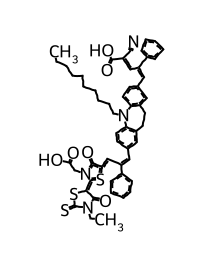 CCCCCCCCCCN1c2ccc(/C=C(\C=c3/s/c(=C4/SC(=S)N(CC)C4=O)n(CC(=O)O)c3=O)c3ccccc3)cc2CCc2cc(/C=C(\C=C(/C#N)C(=O)O)c3ccccc3)ccc21